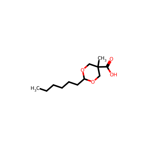 CCCCCCC1OCC(C)(C(=O)O)CO1